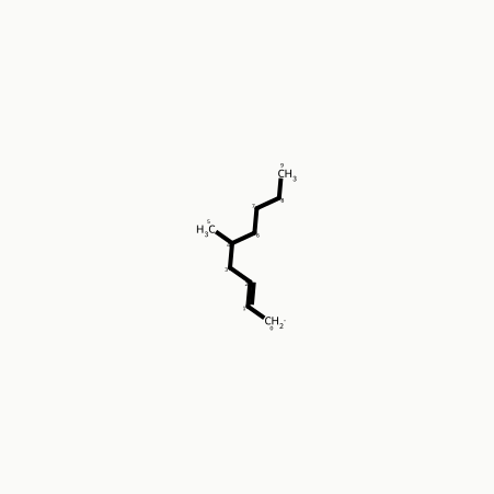 [CH2]C=CCC(C)CCCC